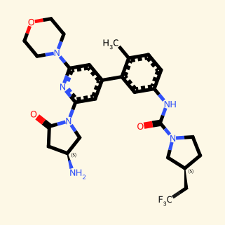 Cc1ccc(NC(=O)N2CC[C@@H](CC(F)(F)F)C2)cc1-c1cc(N2CCOCC2)nc(N2C[C@@H](N)CC2=O)c1